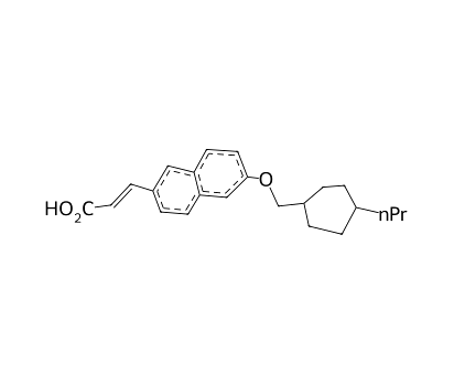 CCCC1CCC(COc2ccc3cc(/C=C/C(=O)O)ccc3c2)CC1